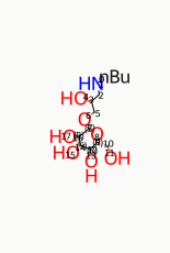 CCCCNCC(O)CO[C@H]1O[C@H](CO)[C@H](O)[C@H](O)[C@H]1O